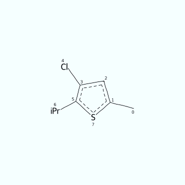 Cc1cc(Cl)c(C(C)C)s1